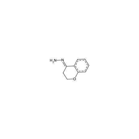 N/N=C1\CCOc2ccccc21